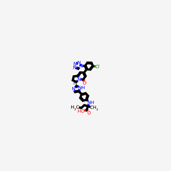 CCCC(C)(Nc1ccc(-c2cnc([C@@H]3CCc4cc(-c5cc(Cl)ccc5-n5cnnn5)cc(=O)n43)[nH]2)cc1)C(=O)O